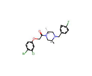 C[C@@H]1CN(Cc2ccc(F)cc2)[C@@H](C)CN1C(=O)COc1ccc(Br)c(Cl)c1